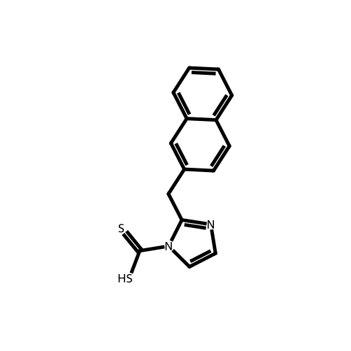 S=C(S)n1ccnc1Cc1ccc2ccccc2c1